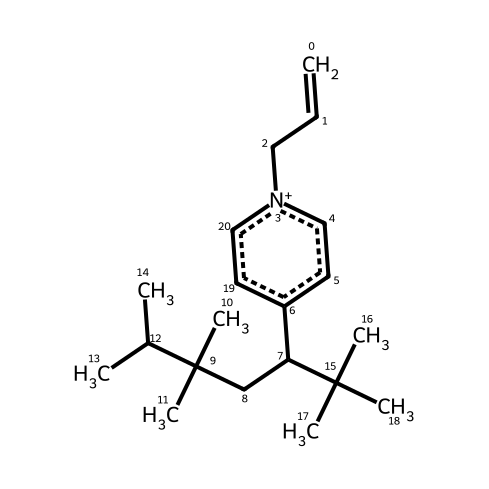 C=CC[n+]1ccc(C(CC(C)(C)C(C)C)C(C)(C)C)cc1